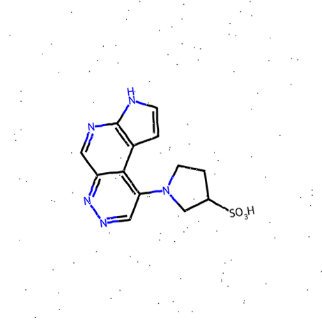 O=S(=O)(O)C1CCN(c2cnnc3cnc4[nH]ccc4c23)C1